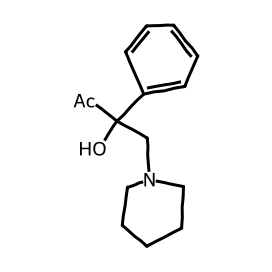 CC(=O)C(O)(CN1CCCCC1)c1ccccc1